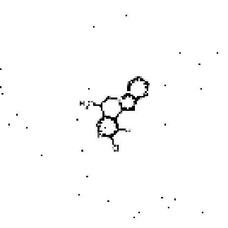 CC1Cn2c(cc3ccccc32)-c2c1cnc(Cl)c2F